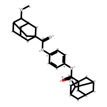 COC1C2CC3CC1CC(C(=O)Oc1ccc(OC(=O)C45CC6CC(C4)C(OC)C(C6)C5)cc1)(C3)C2